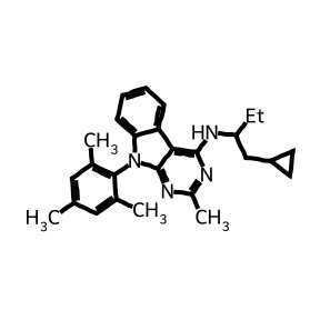 CCC(CC1CC1)Nc1nc(C)nc2c1c1ccccc1n2-c1c(C)cc(C)cc1C